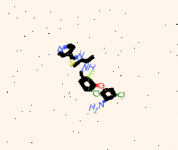 C=C(NCc1ccc(Cl)c(Oc2cc(N)cc(Cl)c2)c1F)c1csc(-c2ccncc2)n1